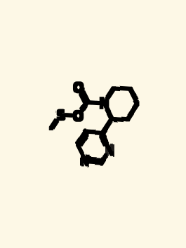 CSOC(=O)N1CCCCC1c1ccncn1